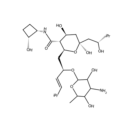 CC(C)/C=C/[C@@H](C[C@@H]1O[C@](O)(C[C@@H](O)C(C)C)C[C@H](O)[C@H]1C(=O)N[C@H]1CC[C@H]1O)OC1OC(C)C(O)C(N)C1O